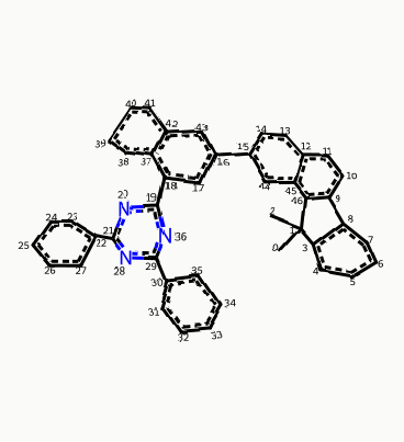 CC1(C)c2ccccc2-c2ccc3ccc(-c4cc(-c5nc(-c6ccccc6)nc(-c6ccccc6)n5)c5ccccc5c4)cc3c21